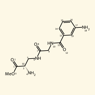 COC(=O)[C@@H](N)CNC(=O)CNC(=O)c1cccc(N)c1